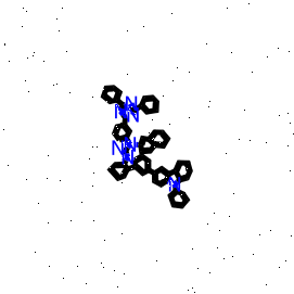 c1ccc(-c2nc(-c3ccccc3)nc(-c3ccc4nc(-n5c6ccccc6c6cc(-c7ccc8c(c7)c7ccccc7n8-c7ccccc7)ccc65)n(-c5ccc6ccccc6c5)c4c3)n2)cc1